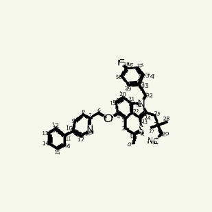 CC1Cc2c(OCc3ccc(-c4ccccc4)cn3)ccc3c2c(c(CC(C)(C)CC#N)n3Cc2ccc(F)cc2)S1